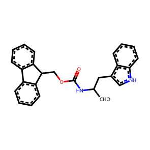 O=CC(Cc1c[nH]c2ccccc12)NC(=O)OCC1c2ccccc2-c2ccccc21